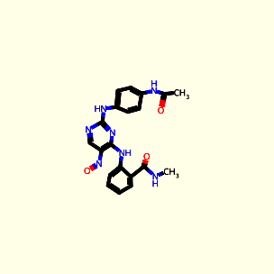 CNC(=O)c1ccccc1Nc1nc(Nc2ccc(NC(C)=O)cc2)ncc1N=O